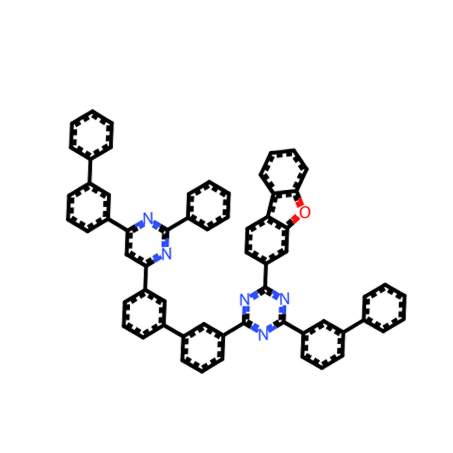 c1ccc(-c2cccc(-c3cc(-c4cccc(-c5cccc(-c6nc(-c7cccc(-c8ccccc8)c7)nc(-c7ccc8c(c7)oc7ccccc78)n6)c5)c4)nc(-c4ccccc4)n3)c2)cc1